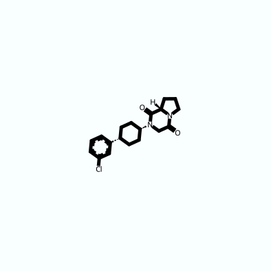 O=C1CN([C@H]2CC[C@@H](c3cccc(Cl)c3)CC2)C(=O)[C@@H]2CCCN12